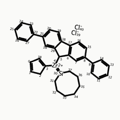 C1=CC[C]([Zr+2]([CH]2c3cc(-c4ccccc4)ccc3-c3ccc(-c4ccccc4)cc32)=[Si]2CCCCCCC2)=C1.[Cl-].[Cl-]